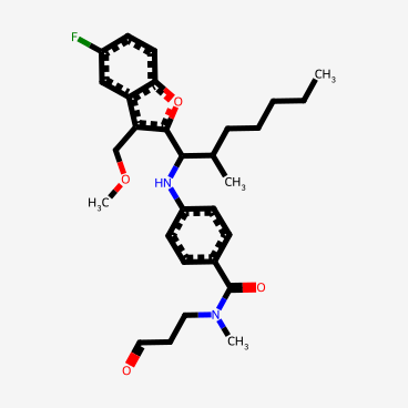 CCCCCC(C)C(Nc1ccc(C(=O)N(C)CCC=O)cc1)c1oc2ccc(F)cc2c1COC